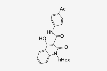 CCCCCCn1c(=O)c(C(=O)Nc2ccc(C(C)=O)cc2)c(O)c2ccccc21